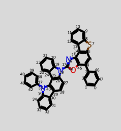 c1ccc(-c2cc3sc4ccccc4c3c3nc(-n4c5ccccc5c5c4ccc4c6ccccc6n(-c6ccccc6)c45)oc23)cc1